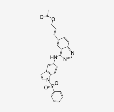 CC(=O)OC/C=C/c1ccc2ncnc(Nc3ccc4c(ccn4S(=O)(=O)c4ccccc4)c3)c2c1